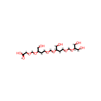 O=C(O)COCOC(CO)CCOCOC(CO)CCOCOC(CO)CO